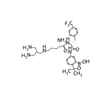 CC1(C)OB(O)c2cc(NC(=O)[C@@H](Cc3ccc(C(F)(F)F)cc3)NC(=O)[C@@H](N)CCCNCC(CN)CN)ccc21